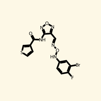 O=C(Nc1nonc1/C=N/ONc1ccc(F)c(Br)c1)c1ccsc1